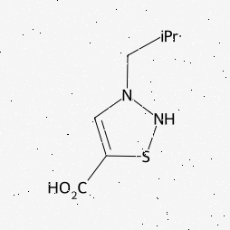 C[C](C)CN1C=C(C(=O)O)SN1